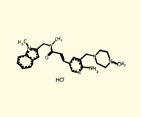 CN1CCN(Cc2cc(/C=C/C(=O)N(C)Cc3cc4ccccc4n3C)cnc2N)CC1.Cl